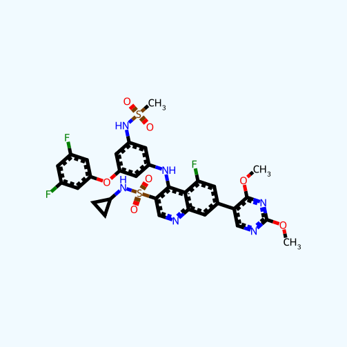 COc1ncc(-c2cc(F)c3c(Nc4cc(NS(C)(=O)=O)cc(Oc5cc(F)cc(F)c5)c4)c(S(=O)(=O)NC4CC4)cnc3c2)c(OC)n1